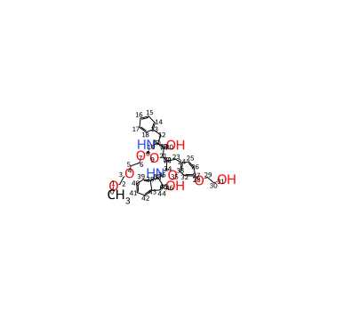 COCCOCCOC(=O)N[C@@H](Cc1ccccc1)[C@@H](O)C[C@@H](Cc1ccc(OCCO)cc1)C(=O)N[C@H]1c2ccccc2C[C@H]1O